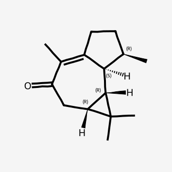 CC1=C2CC[C@@H](C)[C@H]2[C@H]2[C@@H](CC1=O)C2(C)C